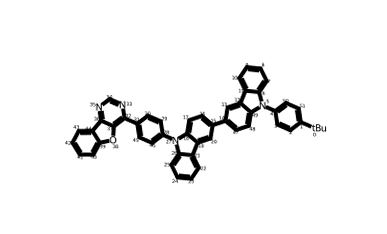 CC(C)(C)c1ccc(-n2c3ccccc3c3cc(-c4ccc5c(c4)c4ccccc4n5-c4ccc(-c5ncnc6c5oc5ccccc56)cc4)ccc32)cc1